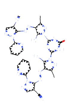 [C-]#[N+]c1cnn(-c2ccccn2)c1N=Nc1c(C)nn(-c2nc(-n3nc(C)c(N=Nc4c(C#N)cnn4-c4ccccn4)c3N)[nH]c(=O)n2)c1N